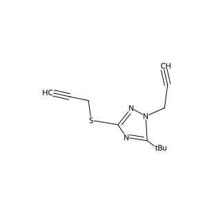 C#CCSc1nc(C(C)(C)C)n(CC#C)n1